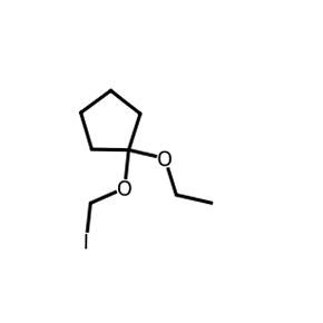 CCOC1(OCI)CCCC1